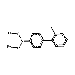 CCO[SiH](OCC)c1ccc(-c2ccccc2C)cc1